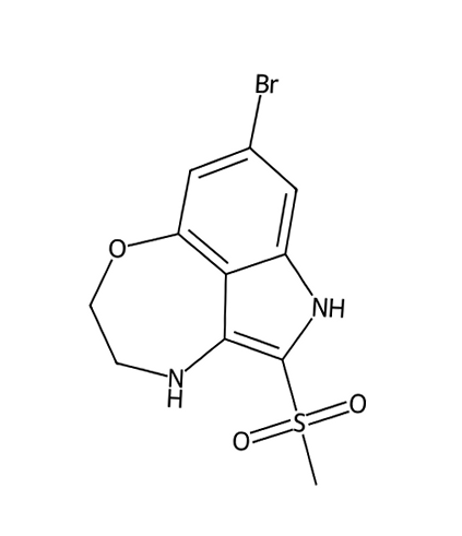 CS(=O)(=O)c1[nH]c2cc(Br)cc3c2c1NCCO3